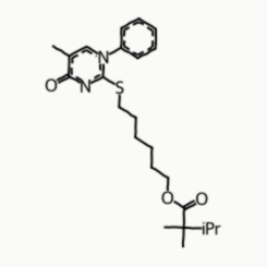 Cc1cn(-c2ccccc2)c(SCCCCCCOC(=O)C(C)(C)C(C)C)nc1=O